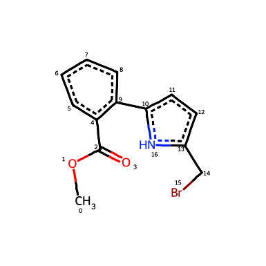 COC(=O)c1ccccc1-c1ccc(CBr)[nH]1